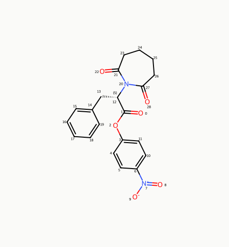 O=C(Oc1ccc([N+](=O)[O-])cc1)[C@H](Cc1ccccc1)N1C(=O)CCCCC1=O